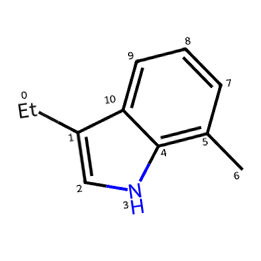 [CH2]Cc1c[nH]c2c(C)cccc12